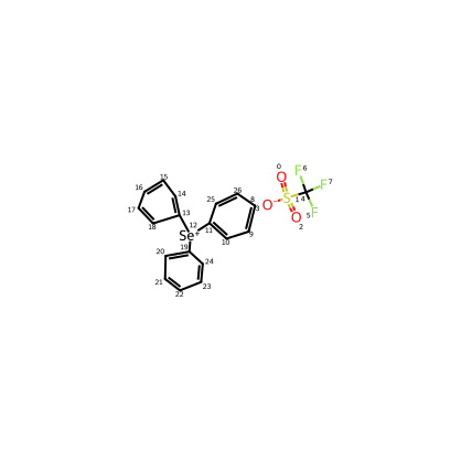 O=S(=O)([O-])C(F)(F)F.c1ccc([Se+](c2ccccc2)c2ccccc2)cc1